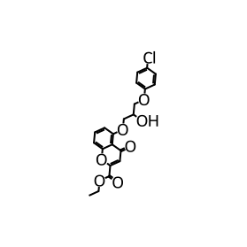 CCOC(=O)c1cc(=O)c2c(OCC(O)COc3ccc(Cl)cc3)cccc2o1